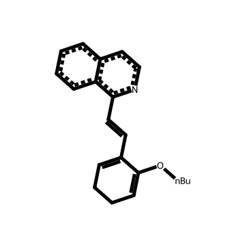 CCCCOC1=CCCC=C1C=Cc1nccc2ccccc12